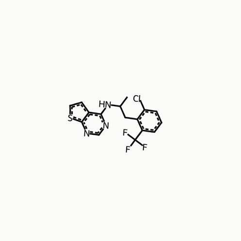 CC(Cc1c(Cl)cccc1C(F)(F)F)Nc1ncnc2sccc12